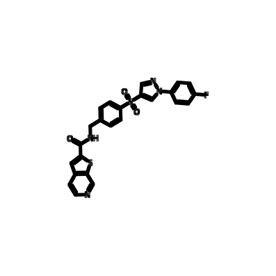 O=C(NCc1ccc(S(=O)(=O)c2cnn(-c3ccc(F)cc3)c2)cc1)c1cc2ccncc2s1